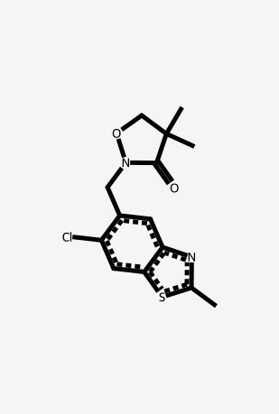 Cc1nc2cc(CN3OCC(C)(C)C3=O)c(Cl)cc2s1